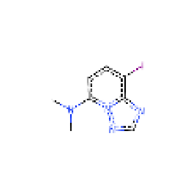 CN(C)c1ccc(I)c2ncnn12